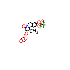 Cc1c(OC[C@@H]2COCCO2)cc(=O)n2c1-c1ccc(OS(=O)(=O)C(F)(F)F)cc1CC2